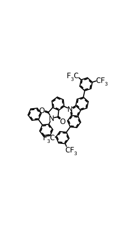 O=C1c2cccc(-n3c4cc(-c5cc(C(F)(F)F)cc(C(F)(F)F)c5)ccc4c4ccc(-c5cc(C(F)(F)F)cc(C(F)(F)F)c5)cc43)c2C(=O)N1c1ccccc1-c1ccccc1